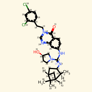 C[C@@H]1C(/N=C(/Nc2ccc3c(=O)n(CCc4ccc(Cl)cc4Cl)cnc3c2)N2CC[C@@H](O)C2)C[C@@H]2C[C@H]1C2(C)C